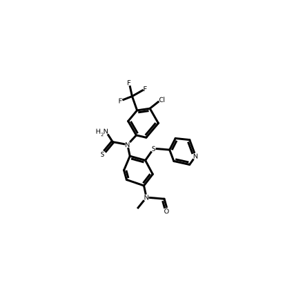 CN(C=O)c1ccc(N(C(N)=S)c2ccc(Cl)c(C(F)(F)F)c2)c(Sc2ccncc2)c1